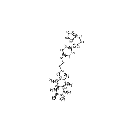 [2H]c1c(OCCCCN2CCN(c3cccc4sccc34)CC2)c([2H])c2[nH]c(=O)c([2H])c([2H])c2c1[2H]